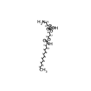 CCCCCCCCCCCCNC(=O)OCCCOP(=O)(O)OCCN